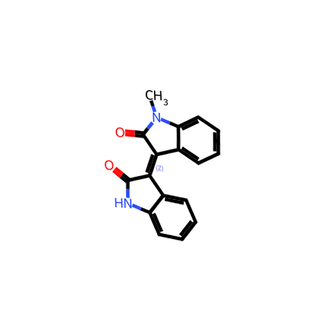 CN1C(=O)/C(=C2\C(=O)Nc3ccccc32)c2ccccc21